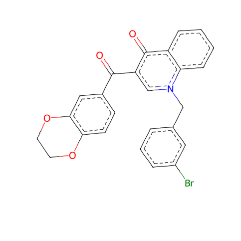 O=C(c1ccc2c(c1)OCCO2)c1cn(Cc2cccc(Br)c2)c2ccccc2c1=O